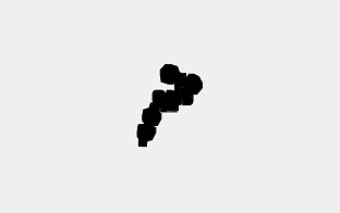 Cc1ccc(-c2ccc(CNC(=O)c3cc(NC(=O)c4ccccc4CCc4ccccc4)cn3C)cc2)cc1